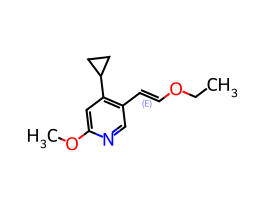 CCO/C=C/c1cnc(OC)cc1C1CC1